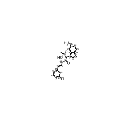 CP(=O)(O)C(C(=O)N/C=C/c1cccc(Cl)c1)c1csc2ccc(N)cc12